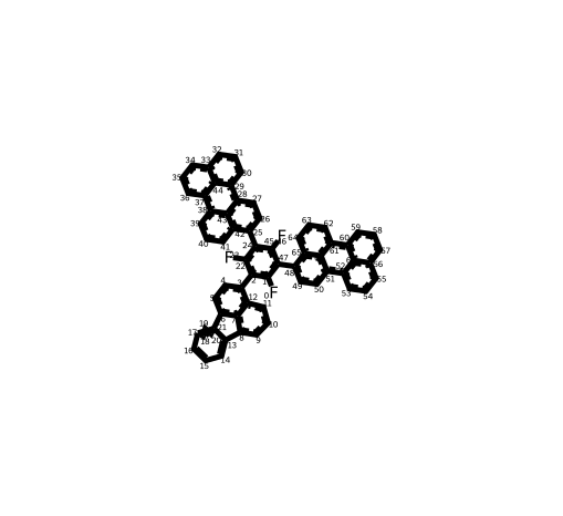 Fc1c(-c2ccc3c4c(cccc24)C2=CC=CC4=CC=CC423)c(F)c(-c2ccc3c4cccc5cccc(c6cccc2c63)c54)c(F)c1-c1ccc2c3cccc4cccc(c5cccc1c52)c43